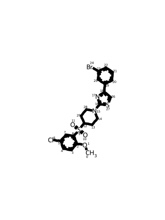 COc1ccc(Cl)cc1S(=O)(=O)C1CCN(c2nc(-c3cccc(Br)c3)cs2)CC1